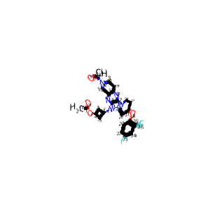 CC(=O)O[C@H]1C[C@@H](Nc2nc3c(nc2N2CCC(Oc4ccc(F)cc4F)CC2)CCN(C(C)=O)C3)C1